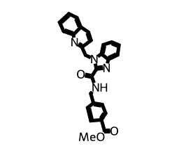 COC(=O)c1ccc(CNC(=O)c2nc3ccccc3n2Cc2ccc3ccccc3n2)cc1